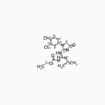 CCOC(=O)N/C(=N\C(C)C)NC1=NC(=O)CN1c1ccc(Cl)c(Cl)c1